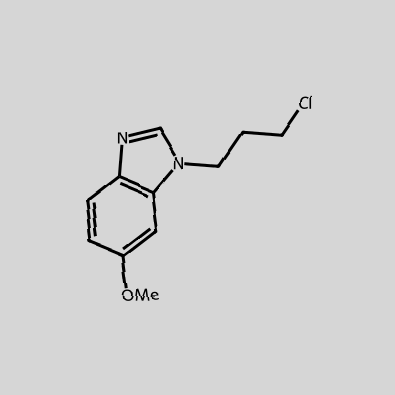 COc1ccc2ncn(CCCCl)c2c1